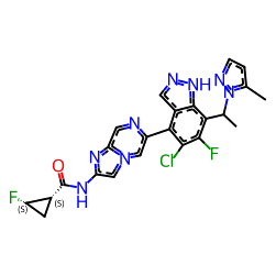 Cc1ccnn1C(C)c1c(F)c(Cl)c(-c2cn3cc(NC(=O)[C@@H]4C[C@@H]4F)nc3cn2)c2cn[nH]c12